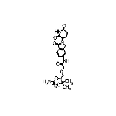 CC(C)(C)C(COCC(=O)Nc1ccc2c(c1)CN(C1CCC(=O)NC1=O)C2=O)OC(N)=O